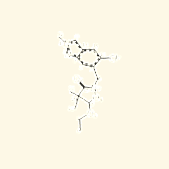 CCOC1ON(Cc2cc3nn(C)cc3cc2Cl)C(=O)C1(C)C